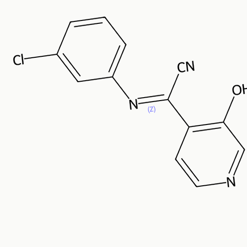 N#C/C(=N\c1cccc(Cl)c1)c1ccncc1O